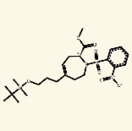 COC(=O)[C@@H]1CC=C(CCCO[Si](C)(C)C(C)(C)C)CCN1S(=O)(=O)c1ccccc1[N+](=O)[O-]